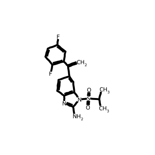 C=C(c1ccc2nc(N)n(S(=O)(=O)C(C)C)c2c1)c1cc(F)ccc1F